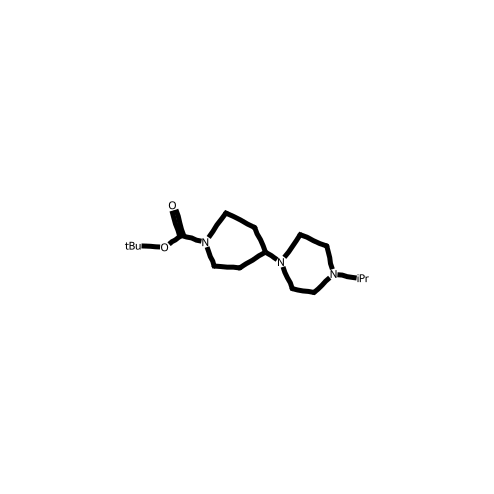 CC(C)N1CCN(C2CCN(C(=O)OC(C)(C)C)CC2)CC1